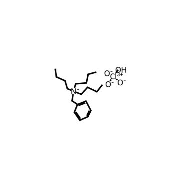 CCCC[N+](CCCC)(CCCC)Cc1ccccc1.[O-][Cl+3]([O-])([O-])O